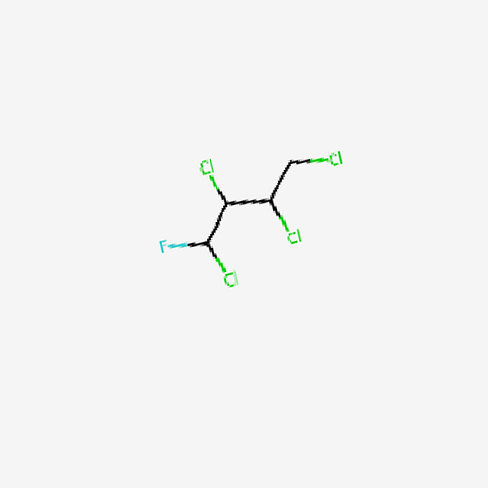 FC(Cl)C(Cl)C(Cl)CCl